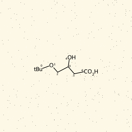 CC(C)(C)OCC(O)CC(=O)O